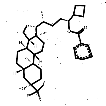 C[C@H](CC[C@H](OC(=O)c1ccccc1)C1CCC1)[C@H]1CC[C@H]2[C@@H]3CC[C@H]4C[C@](O)(C(F)(F)F)CC[C@]4(C)[C@H]3CC[C@]12C